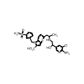 CC(Cc1ccc2c(c1)cc(C(=O)O)n2Cc1cccc(S(N)(=O)=O)c1)NCC(O)c1cnc(N)c(Cl)c1